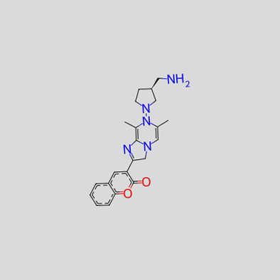 CC1=CN2CC(c3cc4ccccc4oc3=O)=NC2=C(C)N1N1CC[C@@H](CN)C1